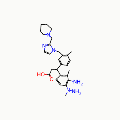 Cc1ccc(C(CC(=O)O)c2ccc(N(C)N)c(N)c2C)cc1Cn1ccnc1CN1CCCCC1